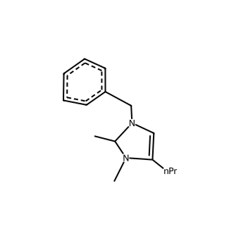 CCCC1=CN(Cc2ccccc2)C(C)N1C